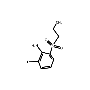 CCCS(=O)(=O)c1cccc(F)c1N